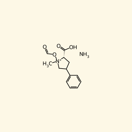 C[N+]1(OC=O)CC(c2ccccc2)C[C@H]1C(=O)O.N